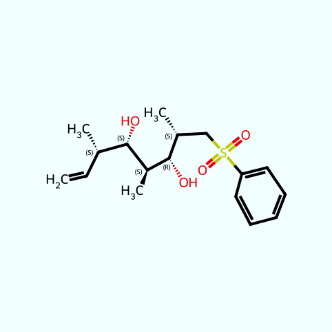 C=C[C@H](C)[C@H](O)[C@H](C)[C@@H](O)[C@H](C)CS(=O)(=O)c1ccccc1